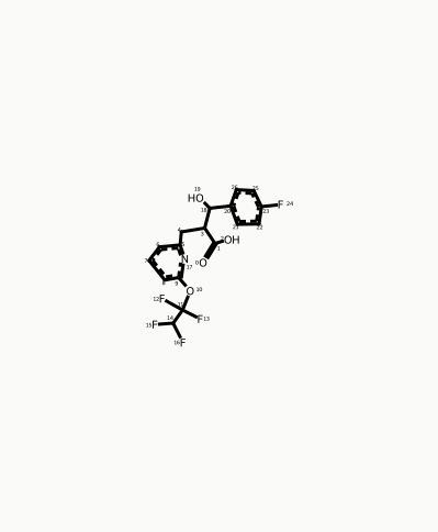 O=C(O)C(Cc1cccc(OC(F)(F)C(F)F)n1)C(O)c1ccc(F)cc1